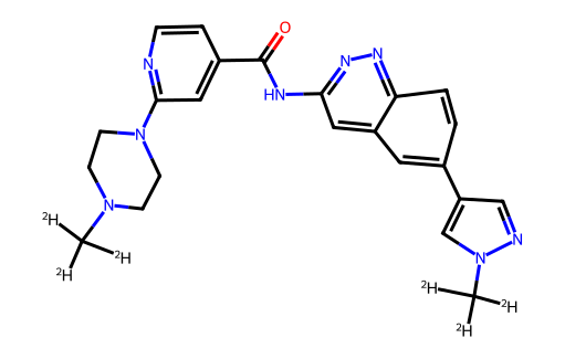 [2H]C([2H])([2H])N1CCN(c2cc(C(=O)Nc3cc4cc(-c5cnn(C([2H])([2H])[2H])c5)ccc4nn3)ccn2)CC1